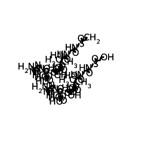 C=CC(=O)SCCNC(=O)CCNC(=O)[C@H](O)C(C)(C)COP(=O)(O)OP(=O)(O)OC[C@H]1O[C@@H](n2cnc3c(N)ncnc32)[C@H](O)[C@@H]1OP(=O)(O)O.CC(C)(COP(=O)(O)OP(=O)(O)OC[C@H]1O[C@@H](n2cnc3c(N)ncnc32)[C@H](O)[C@@H]1OP(=O)(O)O)[C@@H](O)C(=O)NCCC(=O)NCCSC(=O)CCO